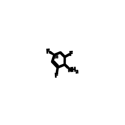 NC1C(F)=C[C@@H](F)CC1F